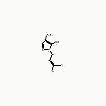 CCOC(=O)c1cnn(CC=C(C)C)c1OCC(C)C